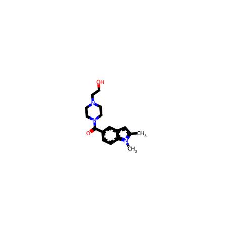 Cc1cc2cc(C(=O)N3CCN(CCO)CC3)ccc2n1C